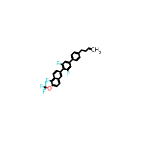 C=CCCc1ccc(-c2cc(F)c(-c3ccc4c(F)c(OC(F)(F)F)ccc4c3)c(F)c2)cc1